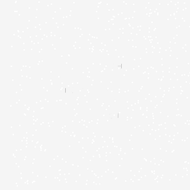 [C]#CCc1c(C)cc(C)cc1C